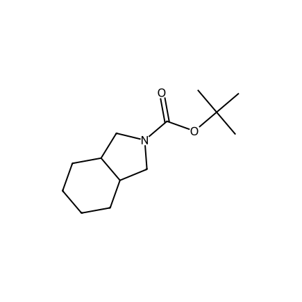 CC(C)(C)OC(=O)N1CC2CCCCC2C1